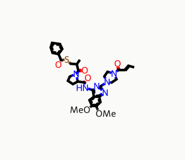 CC=CC(=O)N1CCN(c2nc(NC(=O)C3CCCN3C(=O)C(C)CSC(=O)c3ccccc3)c3cc(OC)c(OC)cc3n2)CC1